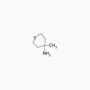 CC1(N)CCSCC1